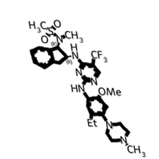 CCc1cc(Nc2ncc(C(F)(F)F)c(N[C@@H]3Cc4ccccc4[C@H]3N(C)S(C)(=O)=O)n2)c(OC)cc1N1CCN(C)CC1